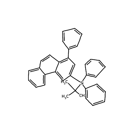 CC(C)(C)[Si](c1ccccc1)(c1ccccc1)c1cc(-c2ccccc2)c2ccc3ccccc3c2c1